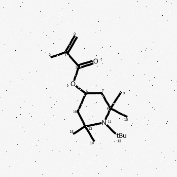 C=C(C)C(=O)OC1CC(C)(C)N(C(C)(C)C)C(C)(C)C1